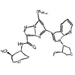 CNc1cc(-c2cn([C@H]3COC[C@H]3F)c3ncccc23)nc2c(C(=O)N[C@H]3COC[C@H]3O)cnn12